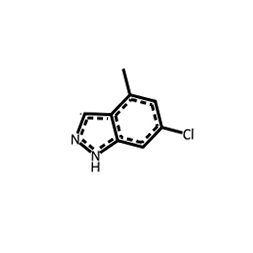 Cc1cc(Cl)cc2[nH]n[c]c12